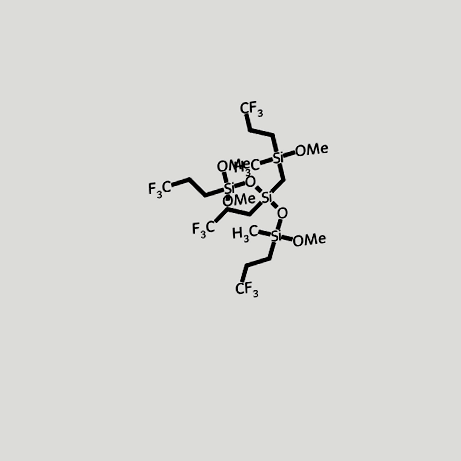 CO[Si](C)(CCC(F)(F)F)C[Si](CCC(F)(F)F)(O[Si](C)(CCC(F)(F)F)OC)O[Si](CCC(F)(F)F)(OC)OC